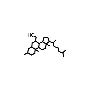 CC(C)CCCC(C)C1CCC2C3C(CO)CC4CC(C)CCC4(C)C3CCC12C